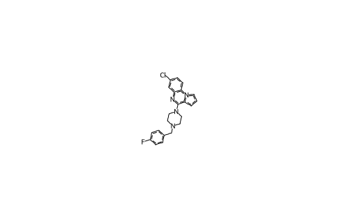 Fc1ccc(CN2CCN(c3nc4cc(Cl)ccc4n4cccc34)CC2)cc1